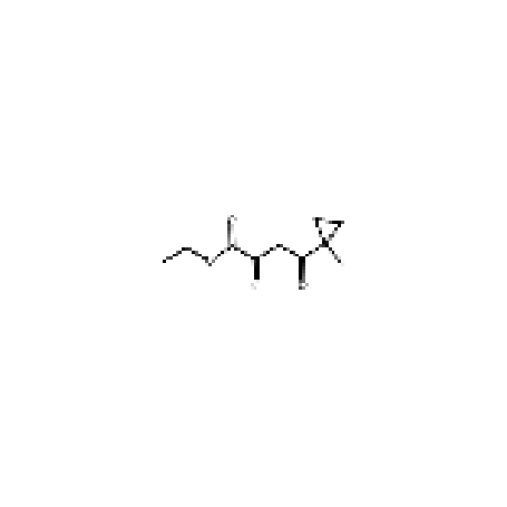 CCOC(=O)C(=O)CC(=O)C1(C)CC1